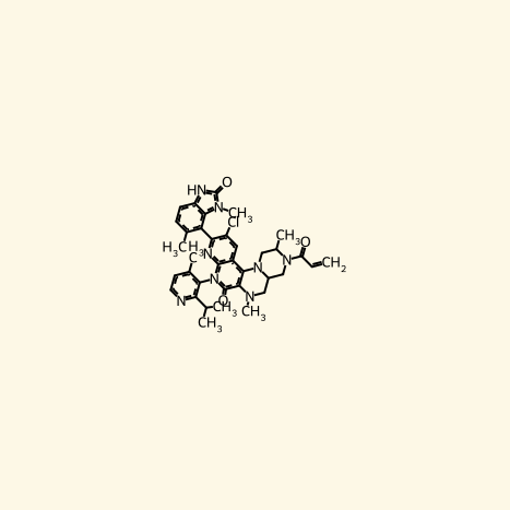 C=CC(=O)N1CC2CN(C)c3c(c4cc(Cl)c(-c5c(C)ccc6[nH]c(=O)n(C)c56)nc4n(-c4c(C)ccnc4C(C)C)c3=O)N2CC1C